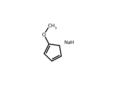 COC1=CC=CC1.[NaH]